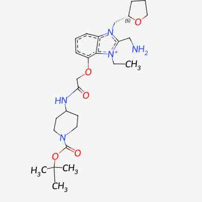 CC[n+]1c(CN)n(C[C@@H]2CCCO2)c2cccc(OCC(=O)NC3CCN(C(=O)OC(C)(C)C)CC3)c21